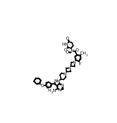 Cc1cc(F)c(N2CC(N3CC(N4CCC(n5nc(-c6ccc(Oc7ccccc7)cc6)c6c(N)ncnc65)CC4)C3)C2)cc1C(=O)N(C=O)C1CCC(=O)NC1=O